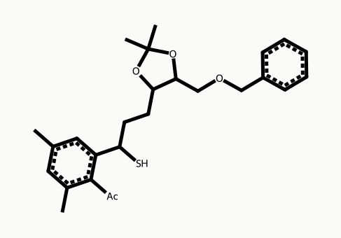 CC(=O)c1c(C)cc(C)cc1C(S)CCC1OC(C)(C)OC1COCc1ccccc1